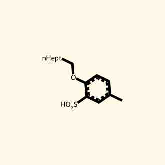 CCCCCCCCOc1ccc(C)cc1S(=O)(=O)O